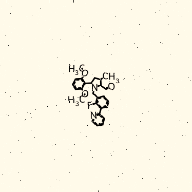 COc1cccc(OC)c1C1CC(C)C(C=O)N1Cc1cccc(-c2ccccn2)c1F